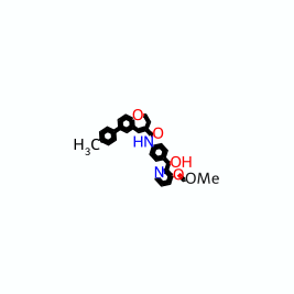 COCOc1cccnc1C(O)c1ccc(NC(=O)C2=Cc3cc(-c4ccc(C)cc4)ccc3OCC2)cc1